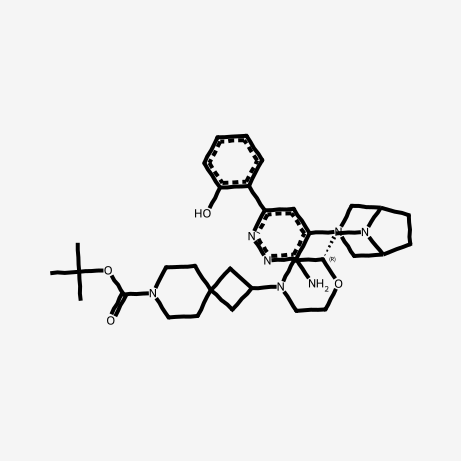 CC(C)(C)OC(=O)N1CCC2(CC1)CC(N1CCO[C@@H](CN3C4CCC3CN(c3cc(-c5ccccc5O)nnc3N)C4)C1)C2